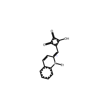 CCN1/C(=C/c2c(O)c(=O)c2=O)C=Cc2ccccc21